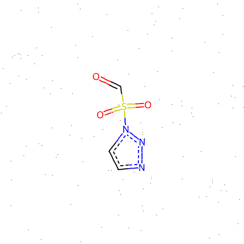 O=CS(=O)(=O)n1ccnn1